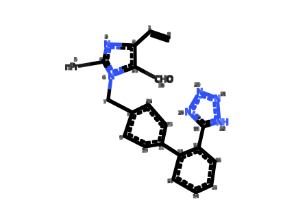 C=Cc1nc(CCC)n(Cc2ccc(-c3ccccc3-c3nnn[nH]3)cc2)c1C=O